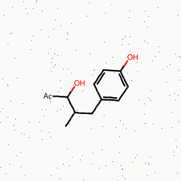 CC(=O)C(O)C(C)Cc1ccc(O)cc1